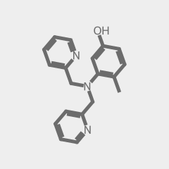 Cc1ccc(O)cc1N(Cc1ccccn1)Cc1ccccn1